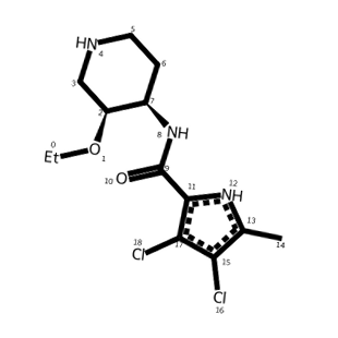 CCO[C@H]1CNCC[C@H]1NC(=O)c1[nH]c(C)c(Cl)c1Cl